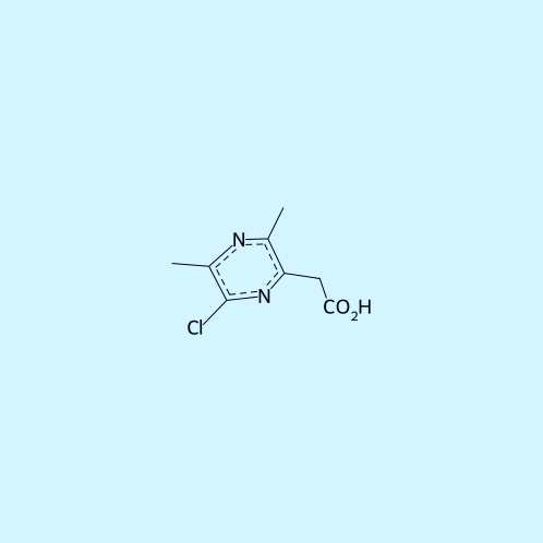 Cc1nc(C)c(CC(=O)O)nc1Cl